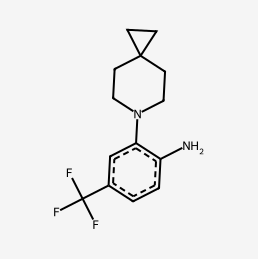 Nc1ccc(C(F)(F)F)cc1N1CCC2(CC1)CC2